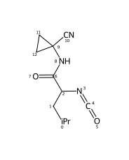 CC(C)CC(N=C=O)C(=O)NC1(C#N)CC1